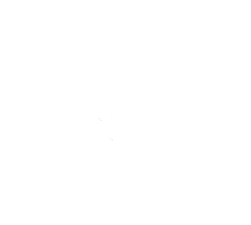 CCC(=N)/C(=C\NC)CCCC(C)=O